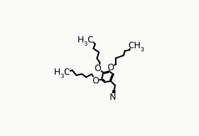 CCCCCCOc1cc(CC#N)cc(OCCCCCC)c1OCCCCCC